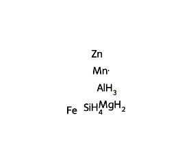 [AlH3].[Fe].[MgH2].[Mn].[SiH4].[Zn]